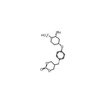 CC(C)(C)[C@H]1C[C@@H](Oc2ccc(CC3COS(=O)OC3)cc2)CCN1C(=O)O